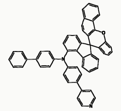 c1ccc(-c2ccc(N(c3ccc(-c4ccncc4)cc3)c3cccc4c3-c3ccccc3C43c4ccccc4Oc4c3ccc3ccccc43)cc2)cc1